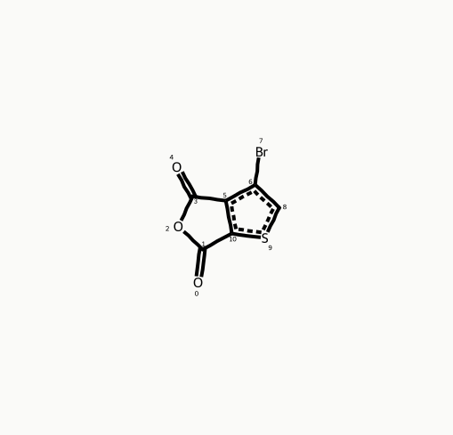 O=C1OC(=O)c2c(Br)csc21